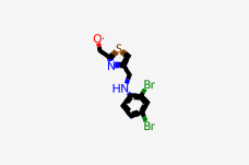 [O]Cc1nc(CNc2ccc(Br)cc2Br)cs1